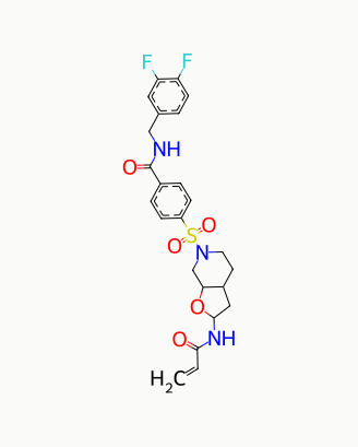 C=CC(=O)NC1CC2CCN(S(=O)(=O)c3ccc(C(=O)NCc4ccc(F)c(F)c4)cc3)CC2O1